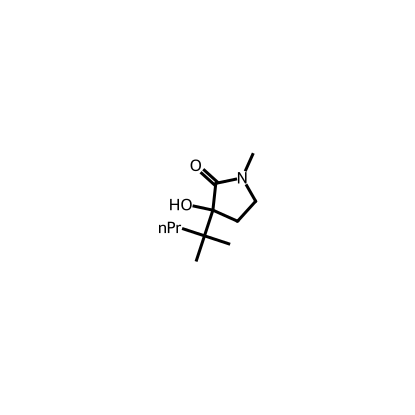 CCCC(C)(C)C1(O)CCN(C)C1=O